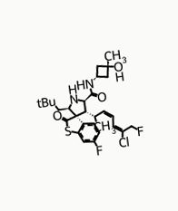 CC(/C=C\C=C(\Cl)CF)[C@H]1[C@H](C(=O)N[C@H]2C[C@@](C)(O)C2)N[C@H](CC(C)(C)C)[C@]12C(=O)Sc1cc(F)ccc12